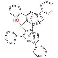 CC(O)(c1c(-c2ccccc2)cc(-c2ccccc2)cc1-c1ccccc1)c1c(-c2ccccc2)cc(-c2ccccc2)cc1-c1ccccc1